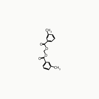 Cc1cccc(C(=O)OCOC(=O)c2cccc(C)c2)c1